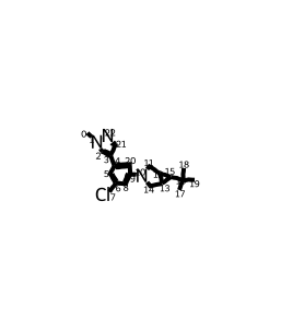 Cn1cc(-c2cc(Cl)cc(N3CC4C(C3)C4C(C)(C)C)c2)cn1